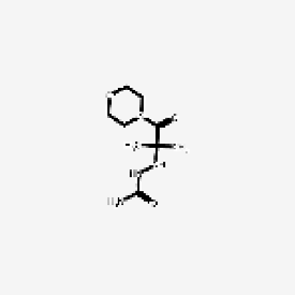 CC(C)(NNC(N)=O)C(=O)N1CCOCC1